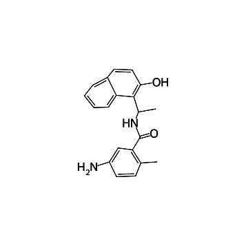 Cc1ccc(N)cc1C(=O)NC(C)c1c(O)ccc2ccccc12